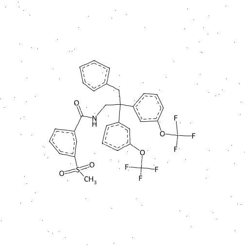 CS(=O)(=O)c1cccc(C(=O)NCC(Cc2ccccc2)(c2cccc(OC(F)(F)F)c2)c2cccc(OC(F)(F)F)c2)c1